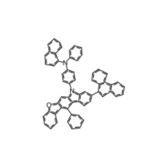 c1ccc(-c2c3c(cc4c2c2ccc(-c5cc6ccccc6c6ccccc56)cc2n4-c2ccc(N(c4ccccc4)c4cccc5ccccc45)cc2)oc2ccccc23)cc1